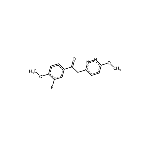 COc1ccc(CC(=O)c2ccc(OC)c(F)c2)nn1